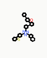 C1=Cc2cc(-c3nc(-c4cccc(-c5cccc6oc7cc(-c8ccccc8)ccc7c56)c4)nc(-c4ccc5c(c4)sc4ccccc45)n3)ccc2CC1